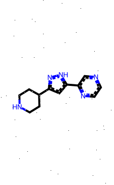 c1cnc(-c2cc(C3CCNCC3)n[nH]2)cn1